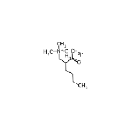 CCCCC(C[N+](C)(C)C)C(C)=O.[I-]